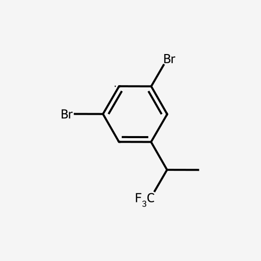 CC(c1cc(Br)[c]c(Br)c1)C(F)(F)F